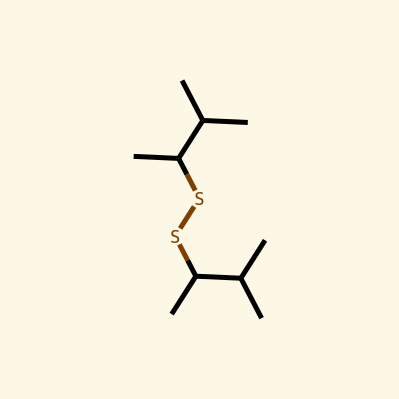 CC(C)C(C)SSC(C)C(C)C